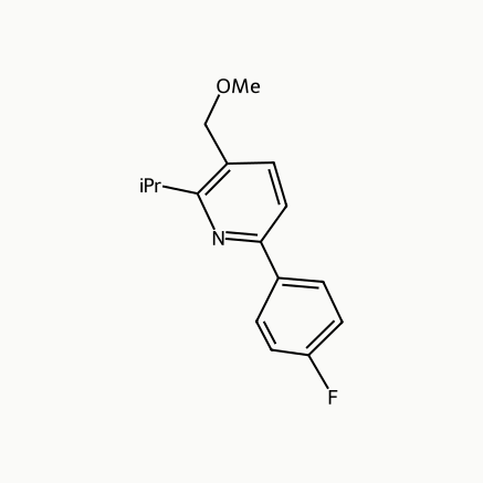 COCc1ccc(-c2ccc(F)cc2)nc1C(C)C